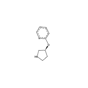 c1ccc(O[C@H]2CCNC2)nc1